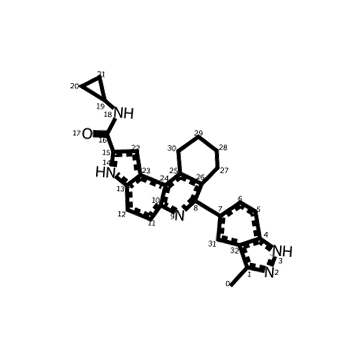 Cc1n[nH]c2ccc(-c3nc4ccc5[nH]c(C(=O)NC6CC6)cc5c4c4c3CCCC4)cc12